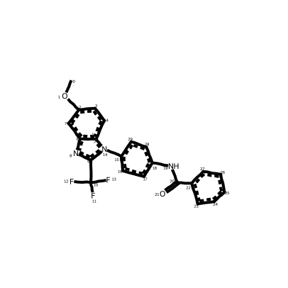 COc1ccc2c(c1)nc(C(F)(F)F)n2-c1ccc(NC(=O)c2ccccc2)cc1